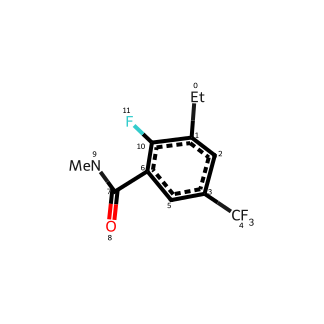 CCc1cc(C(F)(F)F)cc(C(=O)NC)c1F